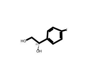 OC[C@@H](O)c1ccc(I)cc1